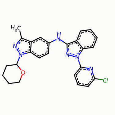 Cc1nn(C2CCCCO2)c2ccc(Nc3nn(-c4cccc(Cl)n4)c4ccccc34)cc12